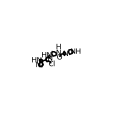 O=C(NC1CCC(Nc2cc(-c3c[nH]c4ncccc34)cc(Cl)n2)CC1)C1CN(C2CCNCC2)C1